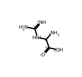 N=C(N)NC(N)C(=O)O